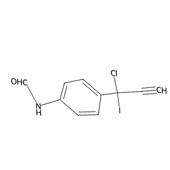 C#CC(Cl)(I)c1ccc(NC=O)cc1